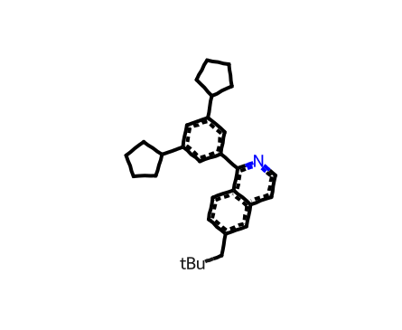 CC(C)(C)Cc1ccc2c(-c3cc(C4CCCC4)cc(C4CCCC4)c3)nccc2c1